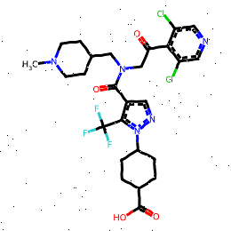 CN1CCC(CN(CC(=O)c2c(Cl)cncc2Cl)C(=O)c2cnn(C3CCC(C(=O)O)CC3)c2C(F)(F)F)CC1